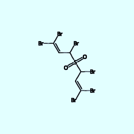 O=S(=O)(C(Br)C=C(Br)Br)C(Br)C=C(Br)Br